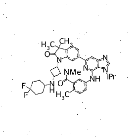 CNC(=O)c1cc(Nc2nc(-c3ccc4c(c3)N([C@H]3C[C@@H](NC5CCC(F)(F)CC5)C3)C(=O)C4(C)C)cc3ncn(C(C)C)c23)ccc1C